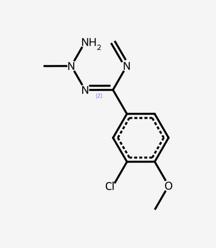 C=N/C(=N\N(C)N)c1ccc(OC)c(Cl)c1